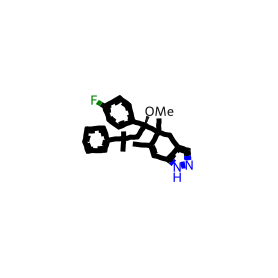 CO[C@@](CC(C)(C)c1ccccc1)(c1ccc(F)cc1)C1(C)Cc2cn[nH]c2C=C1C